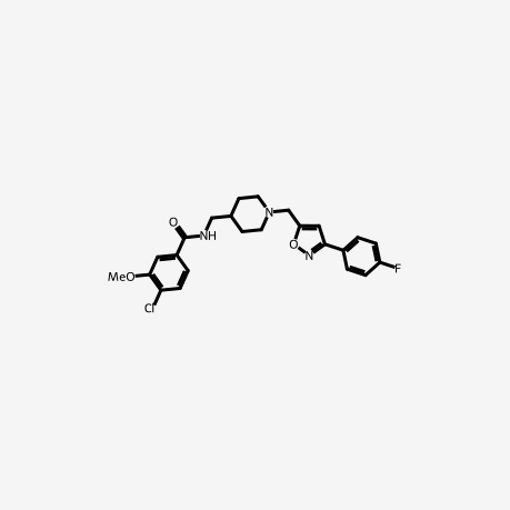 COc1cc(C(=O)NCC2CCN(Cc3cc(-c4ccc(F)cc4)no3)CC2)ccc1Cl